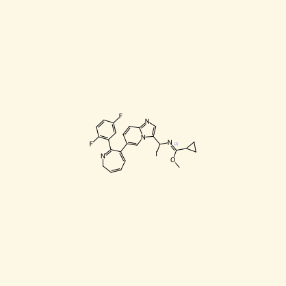 CO/C(=N\C(I)c1cnc2ccc(C3=CC=CCN=C3c3cc(F)ccc3F)cn12)C1CC1